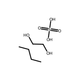 CCCC.O=S(=O)(O)O.OCCO